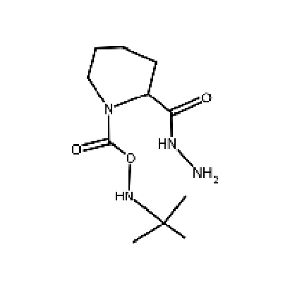 CC(C)(C)NOC(=O)N1CCCCC1C(=O)NN